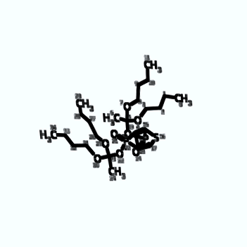 CCCCOC(C)(OCCCC)OP1(=O)c2sc1c1c2P1(=O)OC(C)(OCCCC)OCCCC